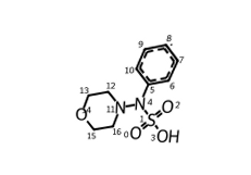 O=S(=O)(O)N(c1cc[c]cc1)N1CCOCC1